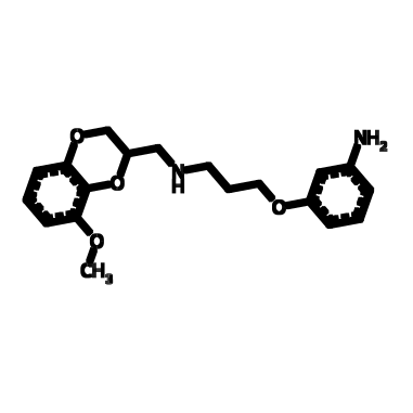 COc1cccc2c1OC(CNCCCOc1cccc(N)c1)CO2